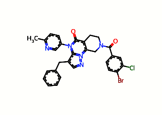 Cc1ccc(-n2c(=O)c3c(n4ncc(Cc5ccccc5)c24)CN(C(=O)c2ccc(Br)c(Cl)c2)CC3)cn1